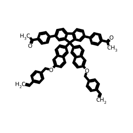 C=Cc1ccc(COc2ccc3cc(C4(c5ccc6cc(OCc7ccc(C=C)cc7)ccc6c5)c5cc(-c6ccc(C(C)=O)cc6)ccc5-c5ccc(-c6ccc(C(C)=O)cc6)cc54)ccc3c2)cc1